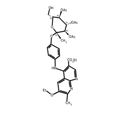 CCOC(=O)c1cnc2nc(C)c(OCC)cc2c1Nc1ccc(O[C@]2(C)O[C@H](CO)[C@@H](OC(C)=O)[C@H](OC(C)=O)[C@H]2OC(C)=O)cc1